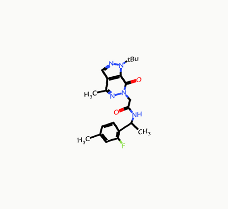 Cc1ccc(C(C)NC(=O)Cn2nc(C)c3cnn(C(C)(C)C)c3c2=O)c(F)c1